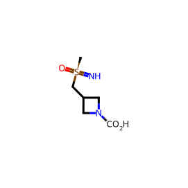 C[S@](=N)(=O)CC1CN(C(=O)O)C1